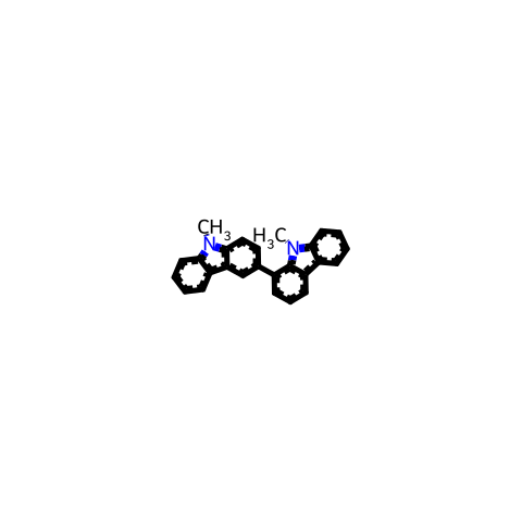 Cn1c2ccccc2c2cc(-c3cccc4c5ccccc5n(C)c34)ccc21